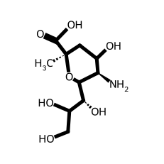 C[C@]1(C(=O)O)CC(O)[C@@H](N)C([C@H](O)C(O)CO)O1